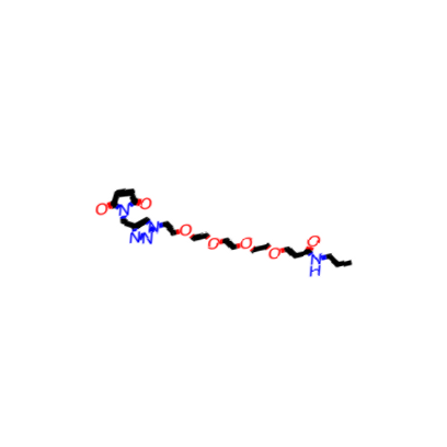 CCCNC(=O)CCOCCOCCOCCOCCn1cc(CN2C(=O)C=CC2=O)nn1